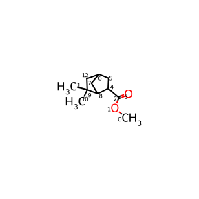 COC(=O)C1CC2CC1C(C)(C)C2